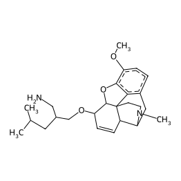 COc1ccc2c3c1OC1C(OCC(CN)CC(C)C)C=CC4C(C2)N(C)CCC341